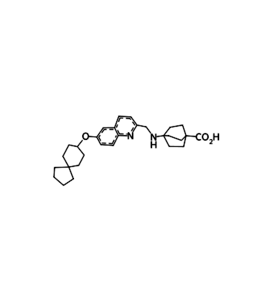 O=C(O)C12CCC(NCc3ccc4cc(OC5CCC6(CCCC6)CC5)ccc4n3)(CC1)CC2